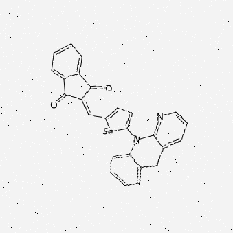 O=C1C(=Cc2ccc(N3c4ccccc4Cc4cccnc43)[se]2)C(=O)c2ccccc21